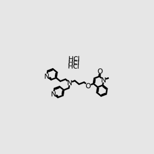 Cl.Cl.Cl.Cn1c(=O)cc(OCCCN(CCc2cccnc2)Cc2ccncc2)c2ccccc21